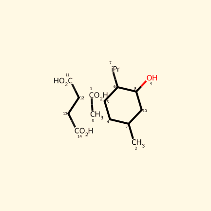 CC(=O)O.CC1CCC(C(C)C)C(O)C1.O=C(O)CCC(=O)O